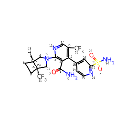 NC(=O)c1c(N2C[C@H]3CC[C@@]3(C(F)(F)F)C2)ncc(C(F)(F)F)c1-c1ccnc(S(N)(=O)=O)c1